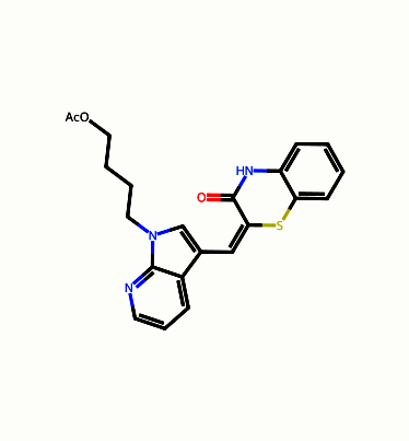 CC(=O)OCCCCn1cc(C=C2Sc3ccccc3NC2=O)c2cccnc21